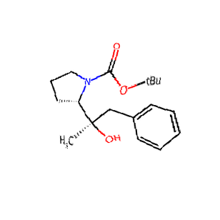 CC(C)(C)OC(=O)N1CCC[C@H]1[C@](C)(O)Cc1ccccc1